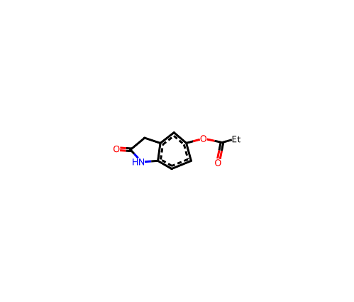 CCC(=O)Oc1ccc2c(c1)CC(=O)N2